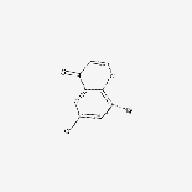 O=c1ccoc2c(Br)cc(Cl)cc12